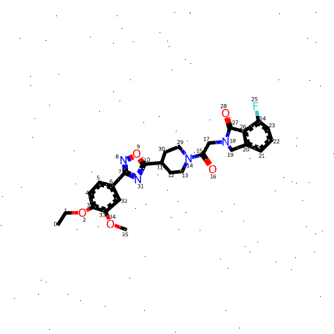 CCOc1ccc(-c2noc(C3CCN(C(=O)CN4Cc5cccc(F)c5C4=O)CC3)n2)cc1OC